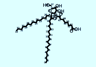 CCCCCCCCCCCCCCCCCC(=O)N(CCCCCCCCCCCCCC)[C@@H]1O[C@H](CO)[C@@H](O)[C@H](O)[C@H]1NC(=O)CCCCCCC(=O)O